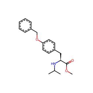 COC(=O)[C@H](Cc1ccc(OCc2ccccc2)cc1)NC(C)C